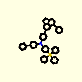 C1=Cc2cc(-c3ccc(N(c4ccc(-c5ccccc5)cc4)c4ccc(S(c5ccccc5)(c5ccccc5)c5ccccc5)cc4)cc3)cc3c(-c4ccccc4)ccc1c23